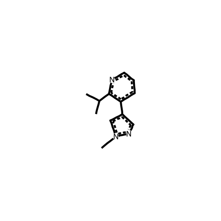 CC(C)c1ncccc1-c1cnn(C)c1